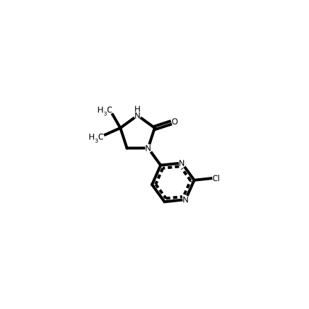 CC1(C)CN(c2ccnc(Cl)n2)C(=O)N1